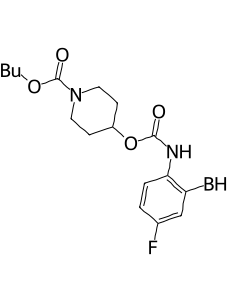 Bc1cc(F)ccc1NC(=O)OC1CCN(C(=O)OC(C)(C)C)CC1